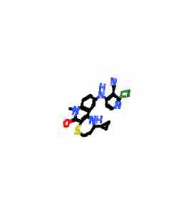 Cn1c(=O)c2c(c3cc(Nc4ccnc(Cl)c4C#N)ccc31)NC(C1CC1)CCS2